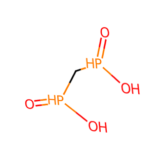 O=[PH](O)C[PH](=O)O